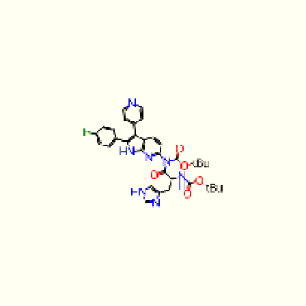 CC(C)(C)OC(=O)N[C@@H](Cc1c[nH]cn1)C(=O)N(C(=O)OC(C)(C)C)c1ccc2c(-c3ccncc3)c(-c3ccc(F)cc3)[nH]c2n1